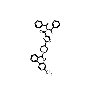 CC(c1ccccc1)N(C(=O)c1csc(C2CCN(C(=O)c3ccccc3-c3ccc(C(F)(F)F)cc3)CC2)n1)C(C)c1ccccc1